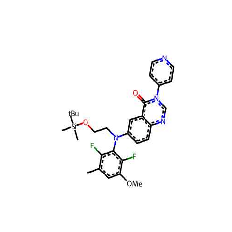 COc1cc(C)c(F)c(N(CCO[Si](C)(C)C(C)(C)C)c2ccc3ncn(-c4ccncc4)c(=O)c3c2)c1F